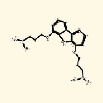 CCCCN(CCCC)CCCOc1cccc2c1[nH]c1c(OCCCN(CCCC)CCCC)cccc12